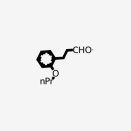 CCCOc1ccccc1CC[C]=O